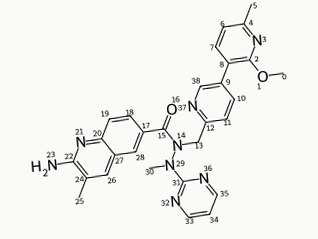 COc1nc(C)ccc1-c1ccc(CN(C(=O)c2ccc3nc(N)c(C)cc3c2)N(C)c2ncccn2)nc1